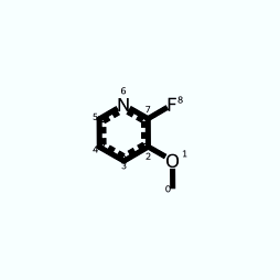 COc1cc[c]nc1F